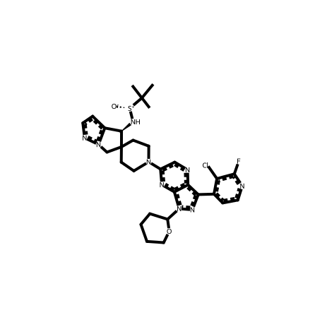 CC(C)(C)[S@@+]([O-])N[C@@H]1c2ccnn2CC12CCN(c1cnc3c(-c4ccnc(F)c4Cl)nn(C4CCCCO4)c3n1)CC2